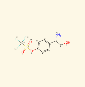 N[C@H](CO)c1ccc(OS(=O)(=O)C(F)(F)F)cc1